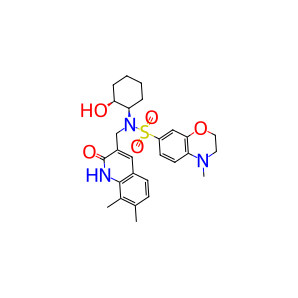 Cc1ccc2cc(CN([C@@H]3CCCC[C@@H]3O)S(=O)(=O)c3ccc4c(c3)OCCN4C)c(=O)[nH]c2c1C